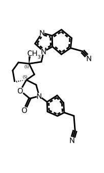 C[C@]1(Cn2cnc3ccc(C#N)cc32)CCC[C@@]2(CN(c3ccc(CC#N)cc3)C(=O)O2)C1